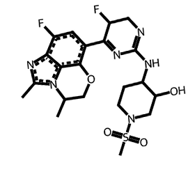 Cc1nc2c(F)cc(C3=NC(NC4CCN(S(C)(=O)=O)CC4O)=NCC3F)c3c2n1C(C)CO3